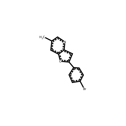 Cc1cnc2cc(-c3ccc(Br)cc3)oc2c1